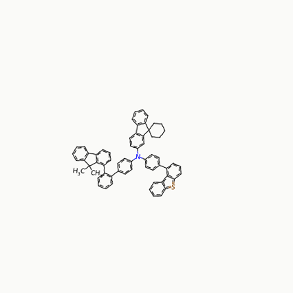 CC1(C)c2ccccc2-c2cccc(-c3ccccc3-c3ccc(N(c4ccc(-c5cccc6sc7ccccc7c56)cc4)c4ccc5c(c4)C4(CCCCC4)c4ccccc4-5)cc3)c21